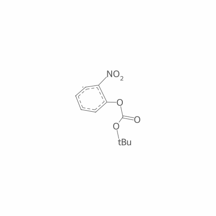 CC(C)(C)OC(=O)Oc1ccc[c]c1[N+](=O)[O-]